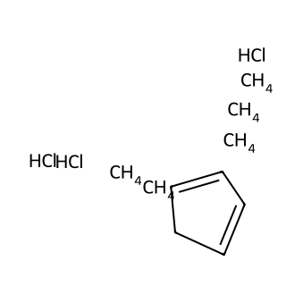 C.C.C.C.C.C1=CCC=C1.Cl.Cl.Cl